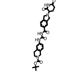 CC(C)(C)OC(=O)N1CCc2cc(NC(=O)NC(=O)c3ccc4c(c3)CN(C3CCC(=O)NC3=O)C4)ccc2C1